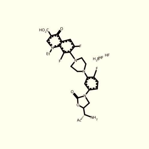 B.CCn1cc(C(=O)O)c(=O)c2cc(F)c(N3CCN(c4cc(N5CC([C@H](N)C(C)=O)OC5=O)ccc4F)CC3)c(F)c21.F.F